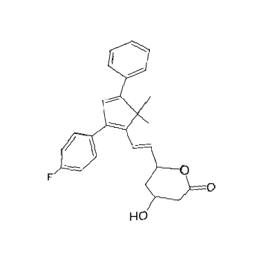 CC1(C)C(c2ccccc2)=CC(c2ccc(F)cc2)=C1C=CC1CC(O)CC(=O)O1